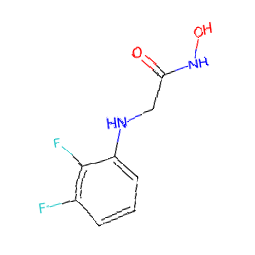 O=C(CNc1cccc(F)c1F)NO